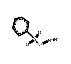 [N-]=[N+]=[N+]S(=O)(=O)c1ccccc1